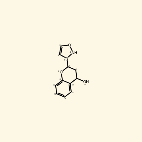 OC1CC(N2C=CON2)Oc2ccccc21